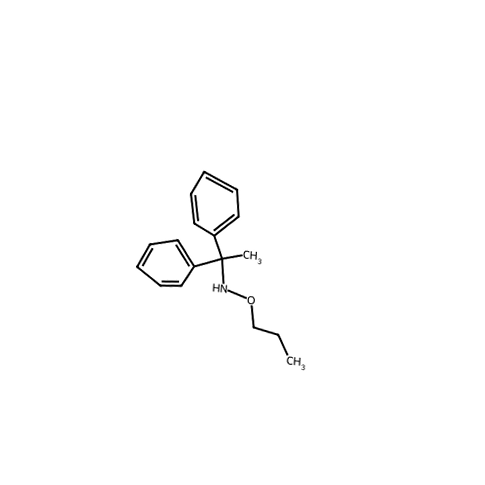 CCCONC(C)(c1ccccc1)c1ccccc1